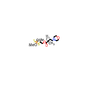 COP(=S)(OC)SCCOC(=O)C(C)(C)CCN1CCOCC1